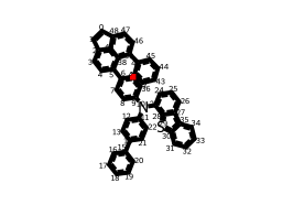 C1=Cc2ccc(-c3ccc(N(c4ccc(-c5ccccc5)cc4)c4cccc5c4sc4ccccc45)cc3)c3c(-c4ccccc4)ccc1c23